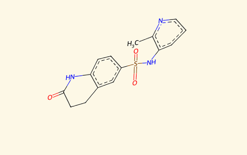 Cc1ncccc1NS(=O)(=O)c1ccc2c(c1)CCC(=O)N2